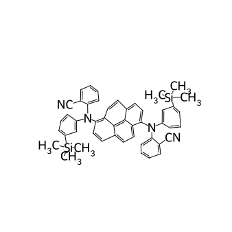 C[Si](C)(C)c1cccc(N(c2ccccc2C#N)c2ccc3ccc4c(N(c5cccc([Si](C)(C)C)c5)c5ccccc5C#N)ccc5ccc2c3c54)c1